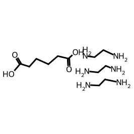 NCCN.NCCN.NCCN.O=C(O)CCCCC(=O)O